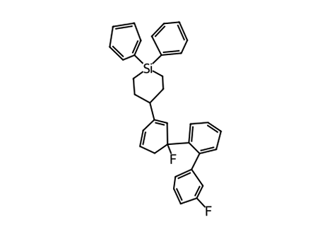 Fc1cccc(-c2ccccc2C2(F)C=C(C3CC[Si](c4ccccc4)(c4ccccc4)CC3)C=CC2)c1